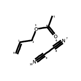 C=CCOC(C)=O.N#CC#N